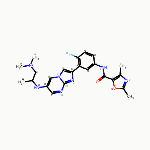 Cc1nc(C)c(C(=O)Nc2ccc(F)c(-c3cn4cc(NC(C)CN(C)C)cnc4n3)c2)o1